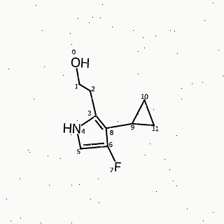 OCCc1[nH]cc(F)c1C1CC1